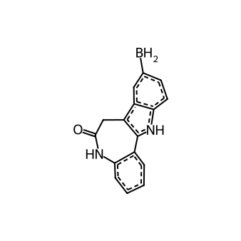 Bc1ccc2[nH]c3c(c2c1)CC(=O)Nc1ccccc1-3